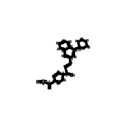 O=C(O)Nc1ccc(C(=O)C=Cc2cc(N3CCCCC3)c3ccccc3n2)cc1